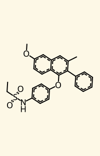 CCS(=O)(=O)Nc1ccc(Oc2c(-c3ccccc3)c(C)cc3cc(OC)ccc23)cc1